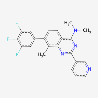 Cc1c(-c2cc(F)c(F)c(F)c2)ccc2c(N(C)C)nc(-c3cccnc3)nc12